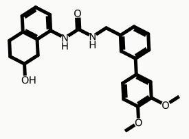 COc1ccc(-c2cccc(CNC(=O)Nc3cccc4c3CC(O)CC4)c2)cc1OC